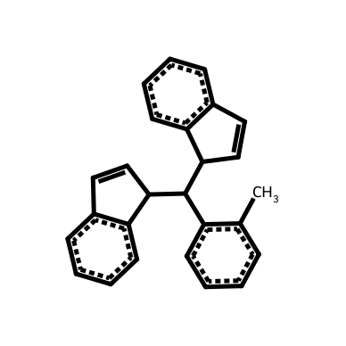 Cc1ccccc1C(C1C=Cc2ccccc21)C1C=Cc2ccccc21